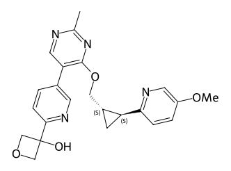 COc1ccc([C@H]2C[C@@H]2COc2nc(C)ncc2-c2ccc(C3(O)COC3)nc2)nc1